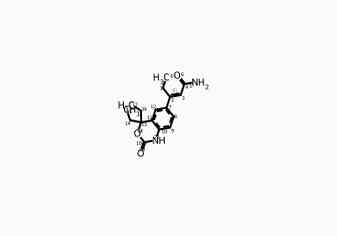 CC/C(=C\C(N)=O)c1ccc2c(c1)C(CC)(CC)OC(=O)N2